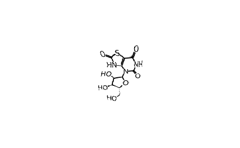 O=c1[nH]c2c(s1)c(=O)[nH]c(=O)n2C1O[C@H](CO)[C@@H](O)[C@H]1O